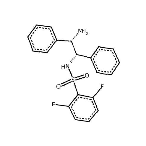 N[C@@H](c1ccccc1)[C@@H](NS(=O)(=O)c1c(F)cccc1F)c1ccccc1